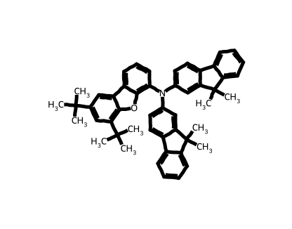 CC(C)(C)c1cc(C(C)(C)C)c2oc3c(N(c4ccc5c(c4)C(C)(C)c4ccccc4-5)c4ccc5c(c4)C(C)(C)c4ccccc4-5)cccc3c2c1